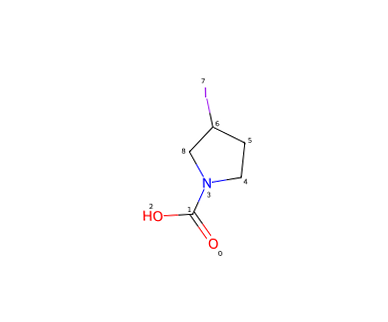 O=C(O)N1CCC(I)C1